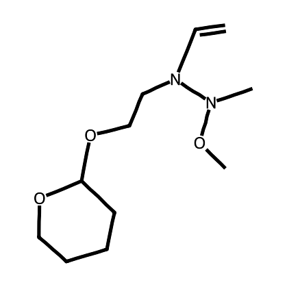 C=CN(CCOC1CCCCO1)N(C)OC